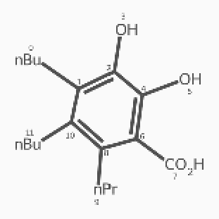 CCCCc1c(O)c(O)c(C(=O)O)c(CCC)c1CCCC